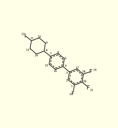 Fc1cc(-c2ccc(C3CCC(I)CC3)cc2)cc(F)c1F